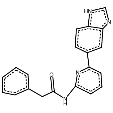 O=C(Cc1ccccc1)Nc1cccc(-c2ccc3[nH]cnc3c2)n1